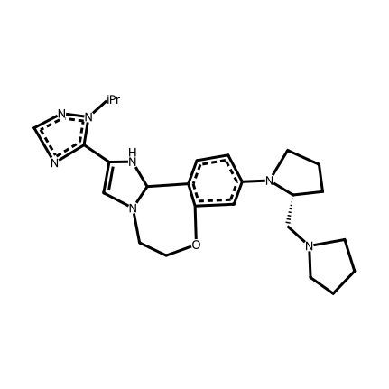 CC(C)n1ncnc1C1=CN2CCOc3cc(N4CCC[C@@H]4CN4CCCC4)ccc3C2N1